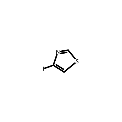 Ic1cscn1